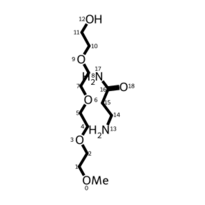 COCCOCCOCCOCCO.NCCC(N)=O